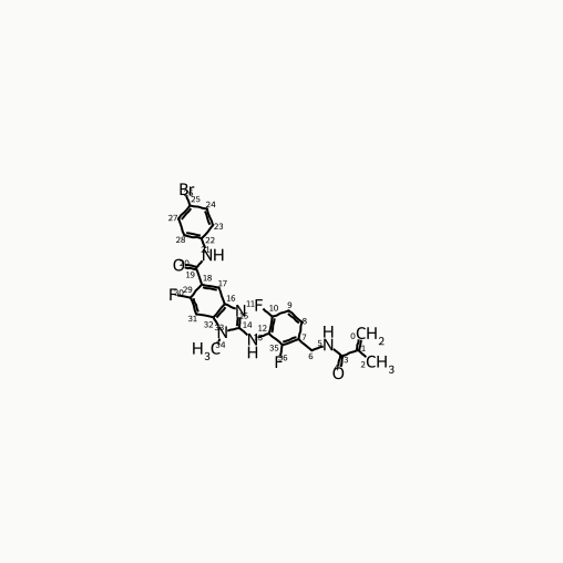 C=C(C)C(=O)NCc1ccc(F)c(Nc2nc3cc(C(=O)Nc4ccc(Br)cc4)c(F)cc3n2C)c1F